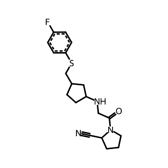 N#CC1CCCN1C(=O)CNC1CCC(CSc2ccc(F)cc2)C1